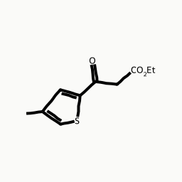 CCOC(=O)CC(=O)c1cc(C)cs1